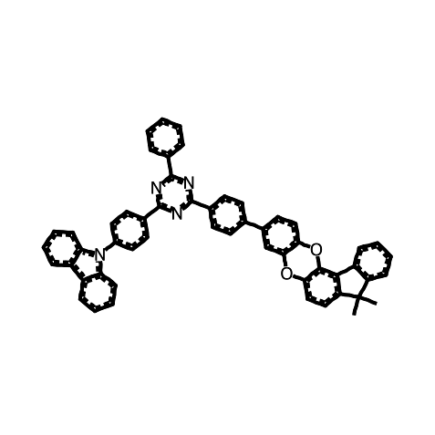 CC1(C)c2ccccc2-c2c1ccc1c2Oc2ccc(-c3ccc(-c4nc(-c5ccccc5)nc(-c5ccc(-n6c7ccccc7c7ccccc76)cc5)n4)cc3)cc2O1